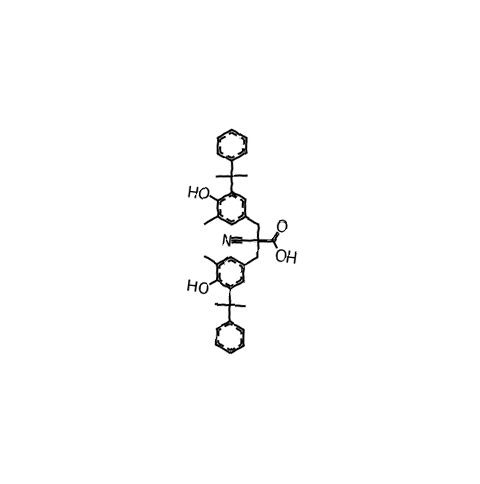 Cc1cc(CC(C#N)(Cc2cc(C)c(O)c(C(C)(C)c3ccccc3)c2)C(=O)O)cc(C(C)(C)c2ccccc2)c1O